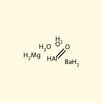 O.O.[BaH2].[MgH2].[O]=[AlH]